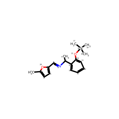 Cc1ccc(C=NC(C)c2ccccc2O[Si](C)(C)C)o1